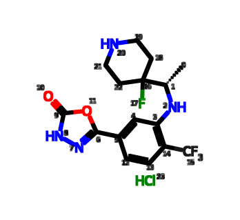 C[C@H](Nc1cc(-c2n[nH]c(=O)o2)ccc1C(F)(F)F)C1(F)CCNCC1.Cl